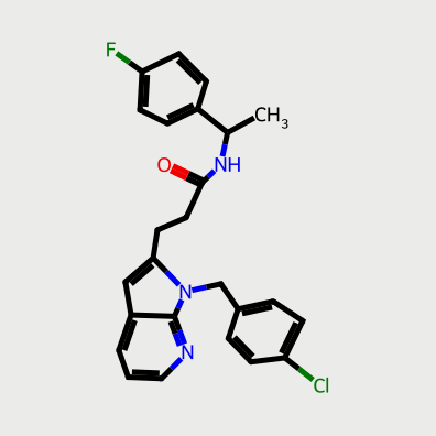 CC(NC(=O)CCc1cc2cccnc2n1Cc1ccc(Cl)cc1)c1ccc(F)cc1